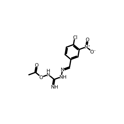 CC(=O)ONC(=N)NN=Cc1ccc(Cl)c([N+](=O)[O-])c1